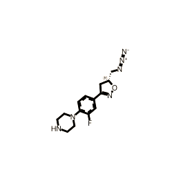 [N-]=[N+]=NC[C@H]1CC(c2ccc(N3CCNCC3)c(F)c2)=NO1